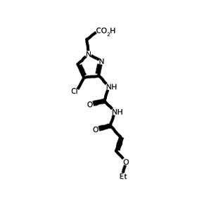 CCOC=CC(=O)NC(=O)Nc1nn(CC(=O)O)cc1Cl